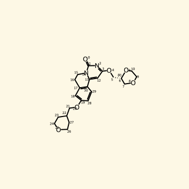 O=c1nc(OC[C@H]2COCCO2)cc2n1CCc1cc(OCC3CCOCC3)ccc1-2